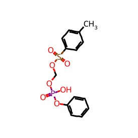 Cc1ccc(S(=O)(=O)OCOP(=O)(O)Oc2ccccc2)cc1